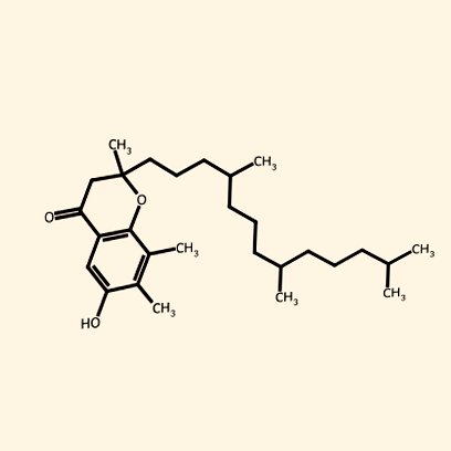 Cc1c(O)cc2c(c1C)OC(C)(CCCC(C)CCCC(C)CCCC(C)C)CC2=O